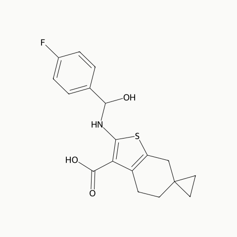 O=C(O)c1c(NC(O)c2ccc(F)cc2)sc2c1CCC1(CC1)C2